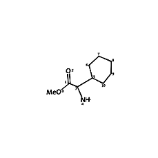 COC(=O)C([NH])C1CCCCC1